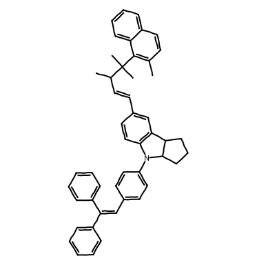 Cc1ccc2ccccc2c1C(C)(C)C(C)/C=C/c1ccc2c(c1)C1CCCC1N2c1ccc(C=C(c2ccccc2)c2ccccc2)cc1